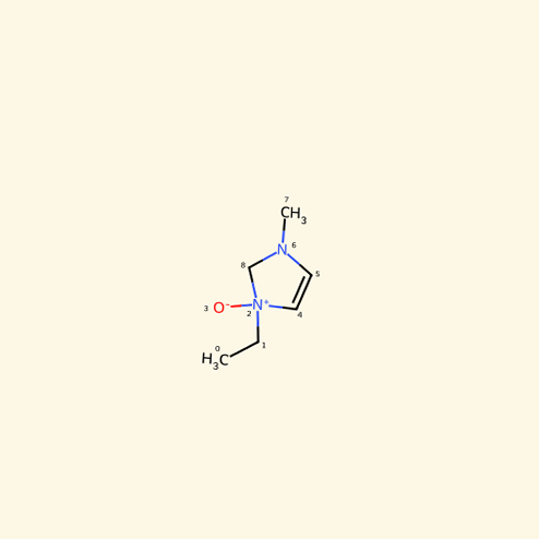 CC[N+]1([O-])C=CN(C)C1